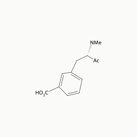 CN[C@@H](Cc1cccc(C(=O)O)c1)C(C)=O